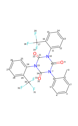 Cc1ccccc1-n1c(=O)n(-c2ccccc2C(F)(F)F)c(=O)n(-c2ccccc2C(F)(F)F)c1=O